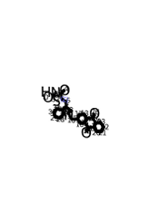 O=C1NC(=O)/C(=C/c2cn(Cc3ccc4c(c3)C(=O)c3ccccc3C4=O)c3ccccc23)S1